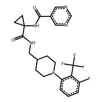 O=C(NC1(C(=O)NCC2CCN(c3cccc(F)c3C(F)(F)F)CC2)CC1)c1cncnc1